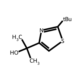 CC(C)(C)c1nc(C(C)(C)O)cs1